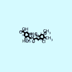 COc1cc2c(cc(C(=O)N[C@H](CO)c3ccc(C(=O)O)cc3F)n2C)c(Cl)c1C